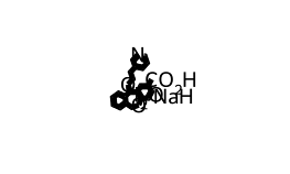 O.O=C(O)c1ccc2c(c1)C(OCCc1cccnc1)c1ccccc1CO2.[NaH]